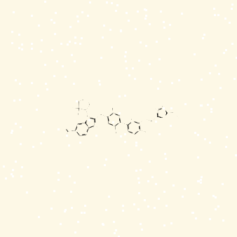 COc1nnc(COc2nc(-c3cc(Cl)c(Cc4nc5ccc(C(=O)O)cc5n4C4COCC4(C)C)cc3C)ccc2F)s1